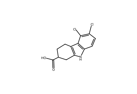 O=C(O)C1CCc2c([nH]c3ccc(Cl)c(Cl)c23)C1